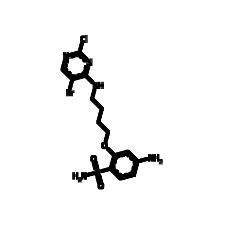 Nc1ccc(S(N)(=O)=O)c(OCCCCNc2nc(Cl)ncc2Br)c1